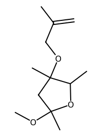 C=C(C)COC1(C)CC(C)(OC)OC1C